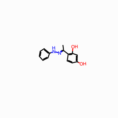 C/C(=N\Nc1ccccc1)c1ccc(O)cc1O